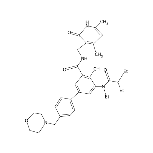 CCC(CC)C(=O)N(CC)c1cc(-c2ccc(CN3CCOCC3)cc2)cc(C(=O)NCc2c(C)cc(C)[nH]c2=O)c1C